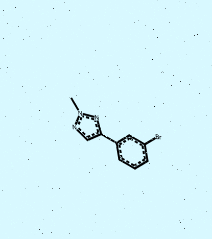 Cn1ncc(-c2cccc(Br)c2)n1